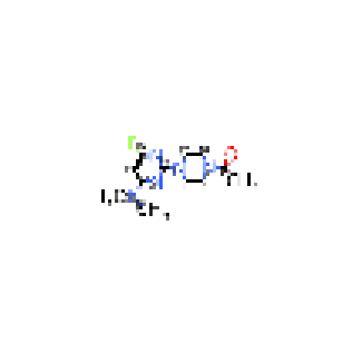 CC(=O)N1CCN(c2nc(F)cc(N(C)C)n2)CC1